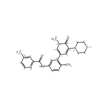 Cc1ccc(NC(=O)c2cc(C(F)(F)F)ccn2)cc1-c1cc(N2CCOCC2)c(=O)n(C)c1